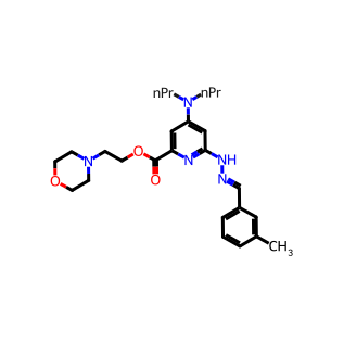 CCCN(CCC)c1cc(N/N=C/c2cccc(C)c2)nc(C(=O)OCCN2CCOCC2)c1